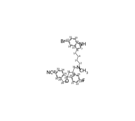 CN(CCCCc1c[nH]c2ccc(Br)cc12)CCCC1(c2ccc(F)cc2)OCc2cc(C#N)ccc21